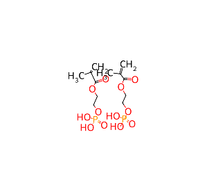 C=C(C)C(=O)OCCOP(=O)(O)O.C=C(C)C(=O)OCCOP(=O)(O)O